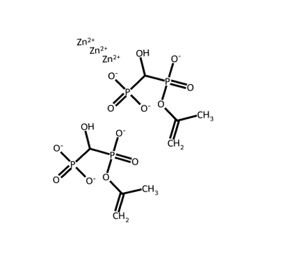 C=C(C)OP(=O)([O-])C(O)P(=O)([O-])[O-].C=C(C)OP(=O)([O-])C(O)P(=O)([O-])[O-].[Zn+2].[Zn+2].[Zn+2]